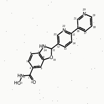 O=C(NO)c1ccc2c(c1)OC(c1ccc(-c3cccnc3)nc1)N2